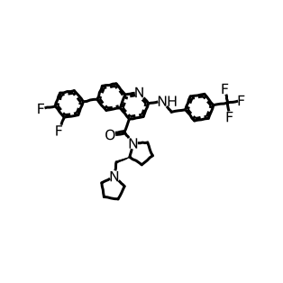 O=C(c1cc(NCc2ccc(C(F)(F)F)cc2)nc2ccc(-c3ccc(F)c(F)c3)cc12)N1CCC[C@H]1CN1CCCC1